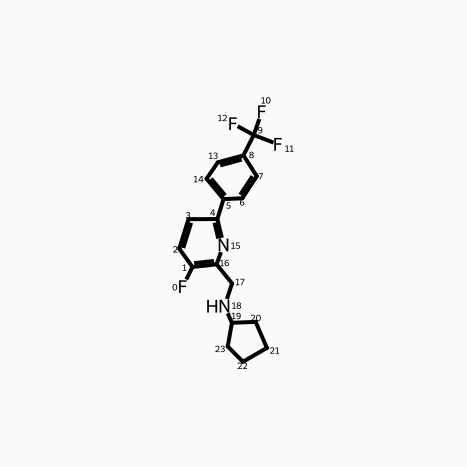 Fc1ccc(-c2ccc(C(F)(F)F)cc2)nc1CNC1CCCC1